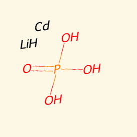 O=P(O)(O)O.[Cd].[LiH]